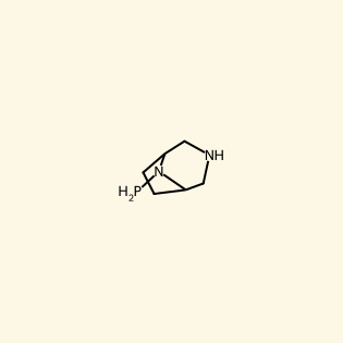 PN1C2CCC1CNC2